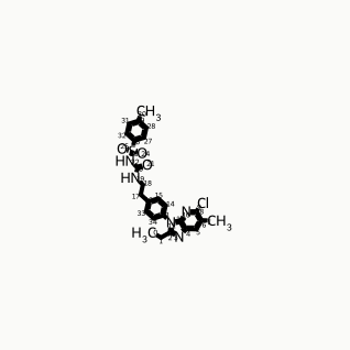 CCc1nc2cc(C)c(Cl)nc2n1-c1ccc(CCNC(=O)NS(=O)(=O)c2ccc(C)cc2)cc1